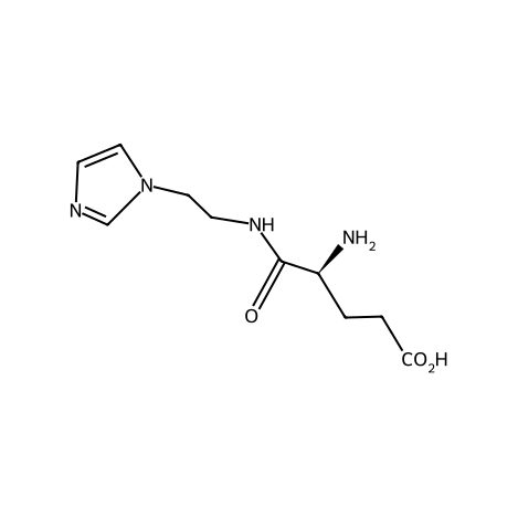 N[C@@H](CCC(=O)O)C(=O)NCCn1ccnc1